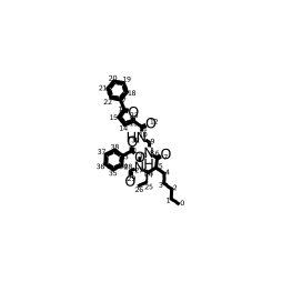 CCCCCC(C(=O)NCNC(=O)c1ccc(-c2ccccc2)o1)[C@@H](CC)N(C=O)OC(=O)c1ccccc1